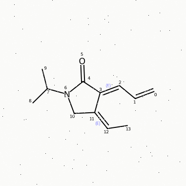 C=C/C=C1/C(=O)N(C(C)C)C/C1=C/C